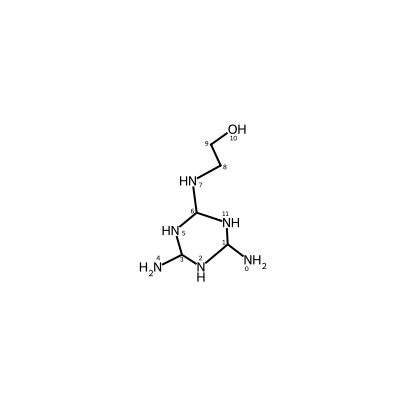 NC1NC(N)NC(NCCO)N1